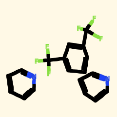 FC(F)(F)c1cccc(C(F)(F)F)c1.c1ccncc1.c1ccncc1